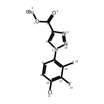 CC(C)(C)OC(=O)c1cn(-c2ccc(Cl)c(F)c2I)nn1